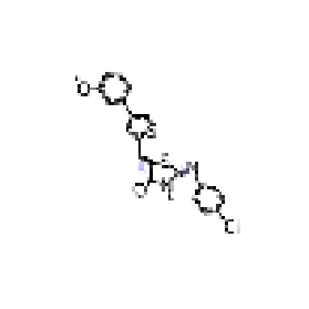 COc1cccc(-c2csc(/C=C3\S/C(=N/c4ccc(Cl)cc4)N(C)C3=O)c2)c1